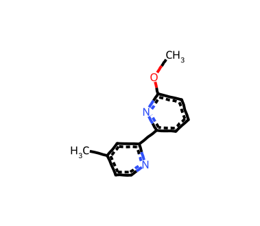 COc1cccc(-c2cc(C)ccn2)n1